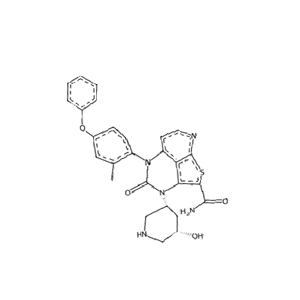 Cc1cc(Oc2ccccc2)ccc1N1C(=O)N([C@H]2CNC[C@@H](O)C2)c2c(C(N)=O)sc3nccc1c23